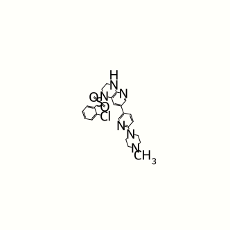 CN1CCN(c2ccc(-c3cnc4c(c3)N(S(=O)(=O)c3ccccc3Cl)CCN4)cn2)CC1